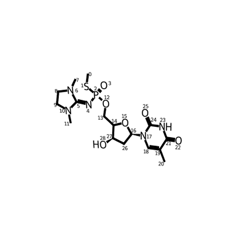 CSP(=O)(N=C1N(C)CCN1C)OCC1O[C@@H](n2cc(C)c(=O)[nH]c2=O)C[C@H]1O